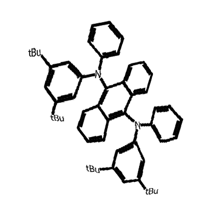 CC(C)(C)c1cc(N(c2ccccc2)c2c3ccccc3c(N(c3ccccc3)c3cc(C(C)(C)C)cc(C(C)(C)C)c3)c3ccccc23)cc(C(C)(C)C)c1